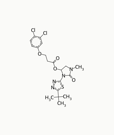 CN1CC(OC(=O)CCOc2ccc(Cl)c(Cl)c2)N(c2nnc(C(C)(C)C)s2)C1=O